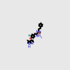 Cc1c[nH]c2nccc(Oc3ccc(CC(N)c4nc(CCc5ccccc5)no4)cc3F)c12